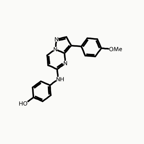 COc1ccc(-c2cnn3ccc(Nc4ccc(O)cc4)nc23)cc1